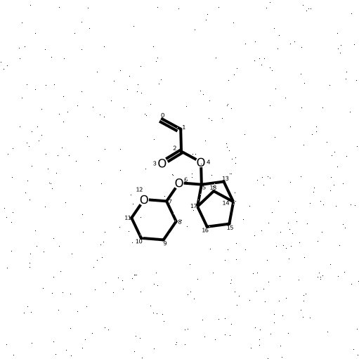 C=CC(=O)OC1(OC2CCCCO2)CC2CCC1C2